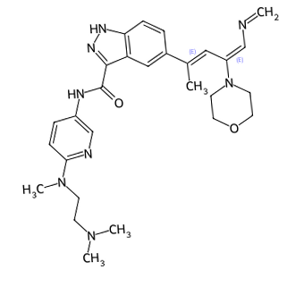 C=N/C=C(\C=C(/C)c1ccc2[nH]nc(C(=O)Nc3ccc(N(C)CCN(C)C)nc3)c2c1)N1CCOCC1